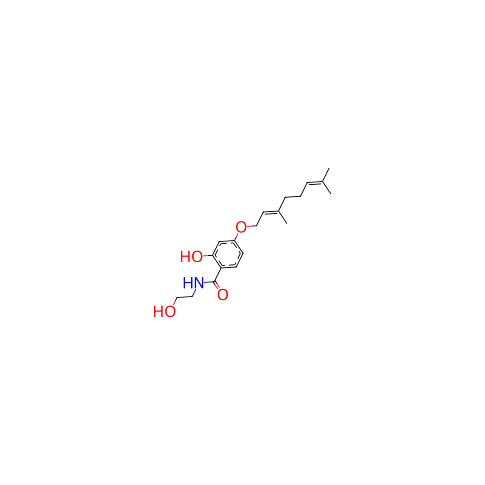 CC(C)=CCC/C(C)=C/COc1ccc(C(=O)NCCO)c(O)c1